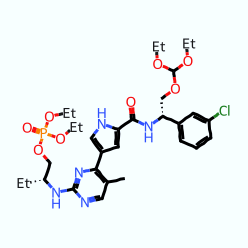 CCOC(OCC)OC[C@@H](NC(=O)c1cc(-c2nc(N[C@H](CC)COP(=O)(OCC)OCC)ncc2C)c[nH]1)c1cccc(Cl)c1